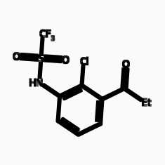 CCC(=O)c1cccc(NS(=O)(=O)C(F)(F)F)c1Cl